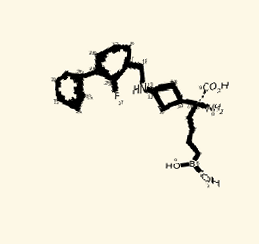 N[C@](CCCCB(O)O)(C(=O)O)C1CC(NCc2cccc(-c3ccccc3)c2F)C1